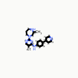 CCc1cnc(N2CCCNC(C)C2)nc1Nc1ccc(-c2ccncc2)cc1